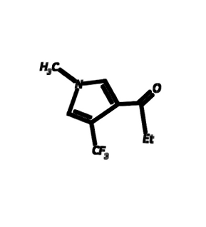 CCC(=O)c1cn(C)cc1C(F)(F)F